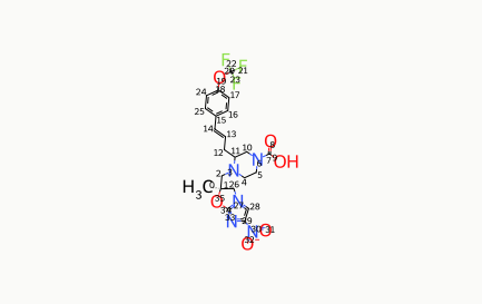 C[C@]1(CN2CCN(C(=O)O)CC2CC=Cc2ccc(OC(F)(F)F)cc2)Cn2cc([N+](=O)[O-])nc2O1